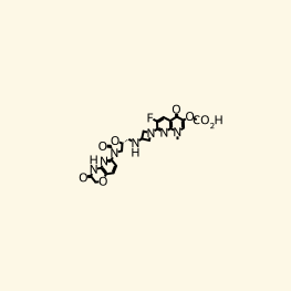 Cn1cc(OC(=O)O)c(=O)c2cc(F)c(N3CC(NC[C@@H]4CN(c5ccc6c(n5)NC(=O)CO6)C(=O)O4)C3)nc21